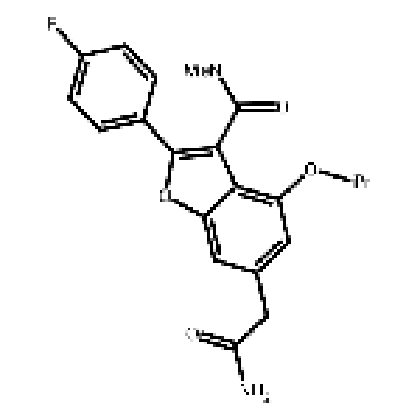 CNC(=O)c1c(-c2ccc(F)cc2)oc2cc(CC(N)=O)cc(OC(C)C)c12